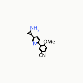 COc1ccc(C#N)cc1-c1ccc(C2CC2N)cn1